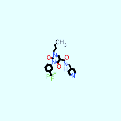 CCCCn1cc(C(=O)NCc2ccncc2)c(=O)n(-c2cccc(C(F)(F)F)c2)c1=O